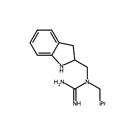 CC(C)CN(CC1Cc2ccccc2N1)C(=N)N